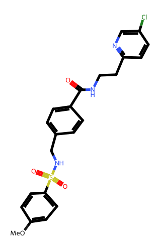 COc1ccc(S(=O)(=O)NCc2ccc(C(=O)NCCc3ccc(Cl)cn3)cc2)cc1